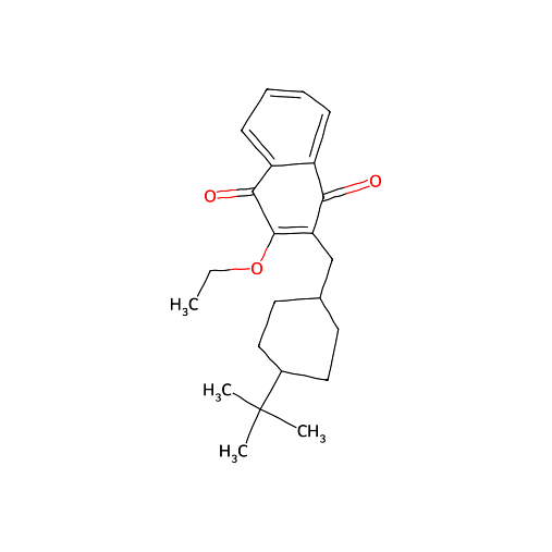 CCOC1=C(CC2CCC(C(C)(C)C)CC2)C(=O)c2ccccc2C1=O